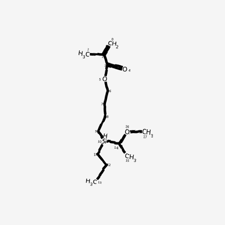 C=C(C)C(=O)OCCCC[SiH](CCC)C(C)OC